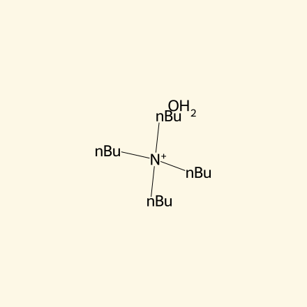 CCCC[N+](CCCC)(CCCC)CCCC.O